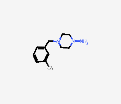 N#Cc1cccc(CN2CCN(N)CC2)c1